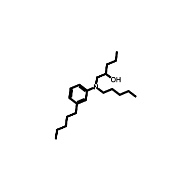 CCCCCc1cccc(N(CCCCC)CC(O)CCC)c1